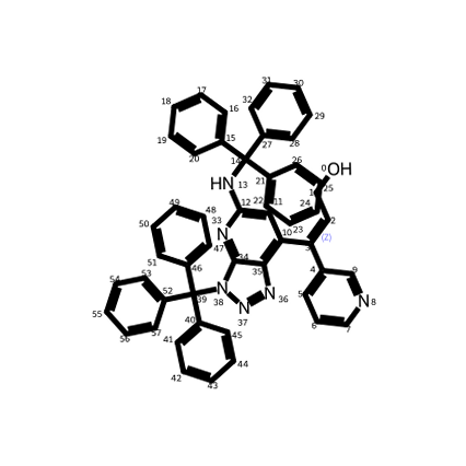 OC/C=C(/c1cccnc1)c1cc(NC(c2ccccc2)(c2ccccc2)c2ccccc2)nc2c1nnn2C(c1ccccc1)(c1ccccc1)c1ccccc1